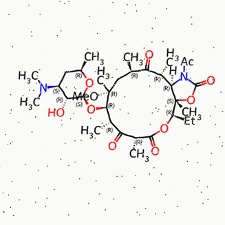 CC[C@H]1OC(=O)[C@H](C)C(=O)[C@H](C)[C@@H](O[C@@H]2O[C@H](C)C[C@H](N(C)C)[C@H]2O)[C@](C)(OC)C[C@@H](C)C(=O)[C@H](C)[C@H]2N(C(C)=O)C(=O)O[C@]12C